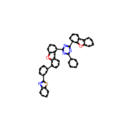 c1ccc(-c2nc(-c3cccc4c3oc3ccccc34)nc(-c3cccc4oc5c(-c6cccc(-c7nc8ccccc8s7)c6)cccc5c34)n2)cc1